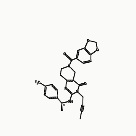 CC#CCn1c(N[C@@H](C)c2ccc(C(F)(F)F)cc2)nc2c(c1=O)CN(C(=O)c1ccc3c(c1)OCO3)CC2